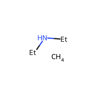 C.CCNCC